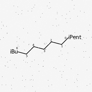 CCCC(C)CC[CH]CCC(C)CC